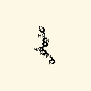 c1cncc(CNCc2cnc3[nH]cc(-c4ccc5ncc(NCC6CCOCC6)cc5c4)c3c2)c1